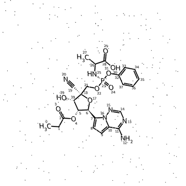 CCC(=O)O[C@H]1[C@H](c2ccc3c(N)ncnn23)O[C@](C#N)(CO[P@@](=O)(NC(C)C(=O)O)Oc2ccccc2)[C@H]1O